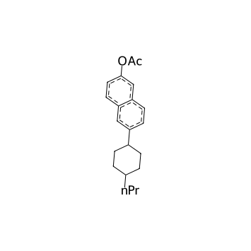 CCCC1CCC(c2ccc3cc(OC(C)=O)ccc3c2)CC1